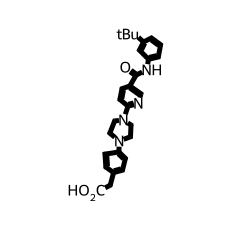 CC(C)(C)c1cccc(NC(=O)c2ccc(N3CCN(c4ccc(CC(=O)O)cc4)CC3)nc2)c1